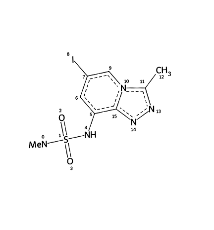 CNS(=O)(=O)Nc1cc(I)cn2c(C)nnc12